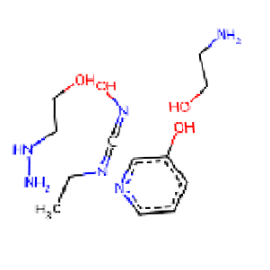 CCN=C=NO.NCCO.NNCCO.Oc1cccnc1